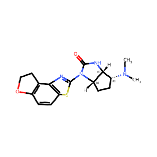 CN(C)[C@@H]1CC[C@H]2[C@@H]1NC(=O)N2c1nc2c3c(ccc2s1)OCC3